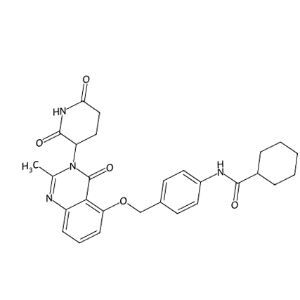 Cc1nc2cccc(OCc3ccc(NC(=O)C4CCCCC4)cc3)c2c(=O)n1C1CCC(=O)NC1=O